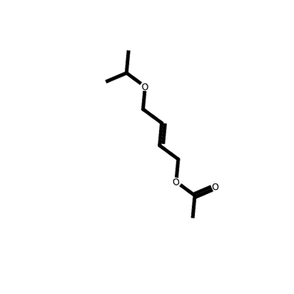 CC(=O)OC/C=C/COC(C)C